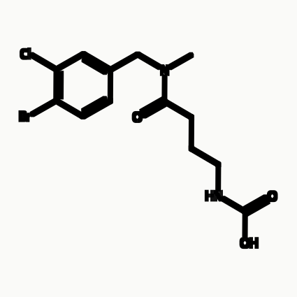 CN(Cc1ccc(Br)c(Cl)c1)C(=O)CCCNC(=O)O